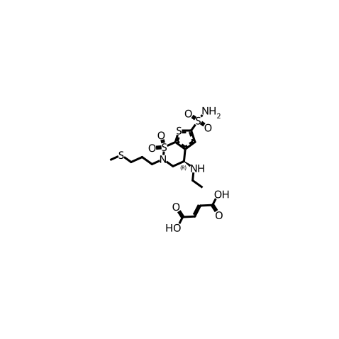 CCN[C@H]1CN(CCCSC)S(=O)(=O)c2sc(S(N)(=O)=O)cc21.O=C(O)C=CC(=O)O